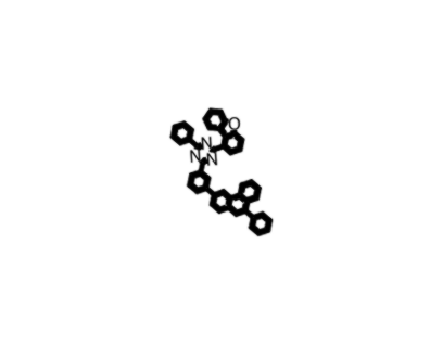 c1ccc(-c2nc(-c3cccc(-c4ccc5cc(-c6ccccc6)c6ccccc6c5c4)c3)nc(-c3cccc4oc5ccccc5c34)n2)cc1